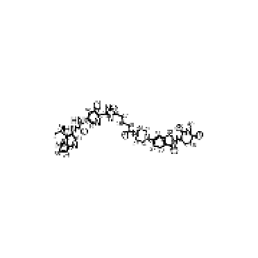 CC(C)c1c(NC(=O)Nc2cnc(-c3noc(CCCC(=O)N4CCN(c5ccc6c(c5)CN(C5CCC(=O)N(C)C5=O)C6=O)CC4)n3)c(Cl)c2)cnc2ccnn12